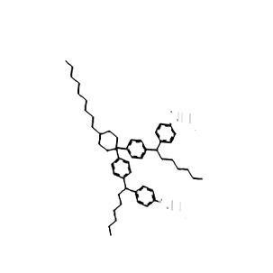 CCCCCCCCCC1CCC(c2ccc(C(CCCCCC)c3ccc(N)cc3)cc2)(c2ccc(C(CCCCCC)c3ccc(N)cc3)cc2)CC1